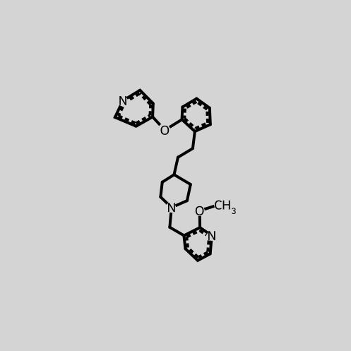 COc1ncccc1CN1CCC(CCc2ccccc2Oc2ccncc2)CC1